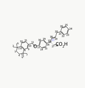 CC1(C)CCC(C)(C)c2cc(COc3ccc([C@H](/C=C/Cc4ccccc4)CC(=O)O)cc3)ccc21